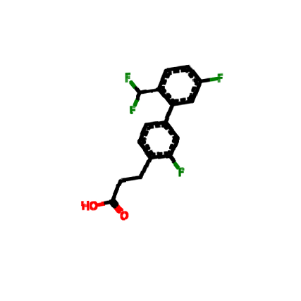 O=C(O)CCc1ccc(-c2cc(F)ccc2C(F)F)cc1F